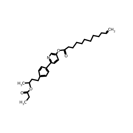 C=CCCCCCCCCCC(=O)Oc1ccc(-c2ccc(CCC(C)OC(=O)CC)cc2)nc1